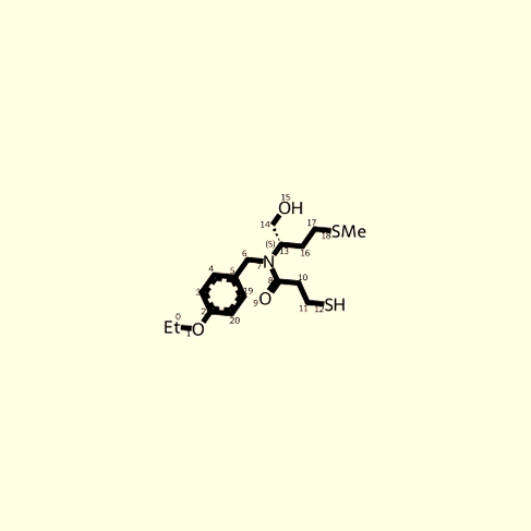 CCOc1ccc(CN(C(=O)CCS)[C@H](CO)CCSC)cc1